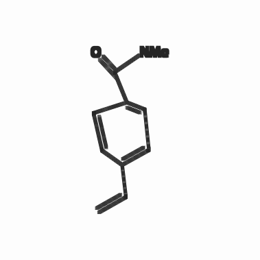 C=Cc1ccc(C(=O)NC)cc1